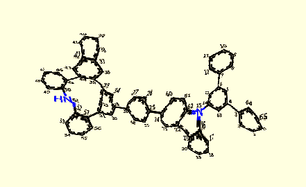 c1ccc(-c2cc(-c3ccccc3)cc(-n3c4ccccc4c4cc(-c5ccc(-c6cc7cc(c6)-c6cc8ccccc8cc6-c6ccccc6Nc6ccccc6-7)cc5)ccc43)c2)cc1